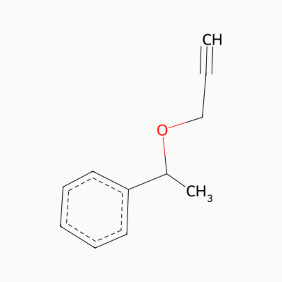 C#CCOC(C)c1ccccc1